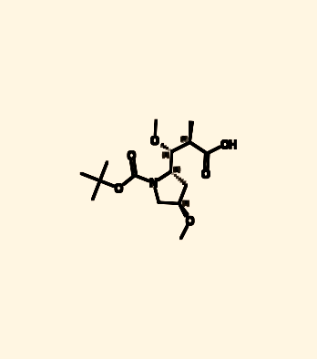 CO[C@@H]1C[C@@H]([C@H](OC)[C@@H](C)C(=O)O)N(C(=O)OC(C)(C)C)C1